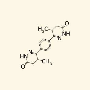 CC1CC(=O)NN=C1c1ccc(C2=NNC(=O)CC2C)cc1